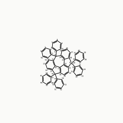 c1ccc(C2(c3ccccc3)c3cccc4c3-c3c(ccc5c3-c3c2cccc3[Si]5(c2ccccc2)c2ccccc2)C4(c2ccccc2)c2ccccc2)cc1